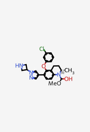 COC(O)N1c2ccc(-c3cnn(C4CNC4)c3)c(Oc3cccc(Cl)c3)c2CC[C@@H]1C